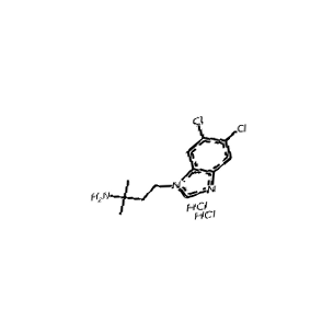 CC(C)(N)CCn1cnc2cc(Cl)c(Cl)cc21.Cl.Cl